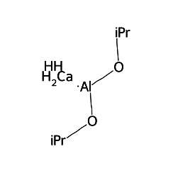 CC(C)[O][Al][O]C(C)C.[CaH2].[HH]